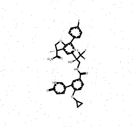 C[C@]1(C(N)=O)COc2c1cc([C@@](O)(CNC(=O)c1ccc(OC3CC3)c(-c3ccc(=O)[nH]c3)c1)C(F)(F)F)nc2-c1ccc(F)cc1